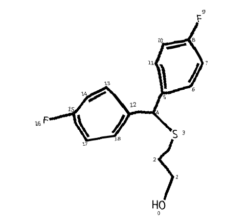 OCCSC(c1ccc(F)cc1)c1ccc(F)cc1